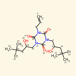 C=CCn1c(=O)n(CC(O)CC(C)(C)CC)c(=O)n(CC(O)CC(C)(C)CC)c1=O